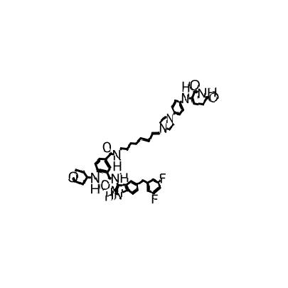 O=C1CCC(Nc2ccc(N3CCN(CCCCCCCCNC(=O)c4ccc(NC5CCOCC5)c(C(=O)Nc5n[nH]c6ccc(Cc7cc(F)cc(F)c7)cc56)c4)CC3)cc2)C(=O)N1